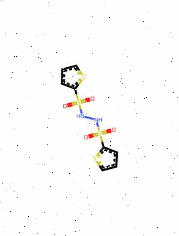 O=S(=O)(NNS(=O)(=O)c1cccs1)c1cccs1